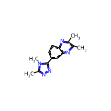 Cc1nc2ccc(-c3nnc(C)n3C)cc2nc1C